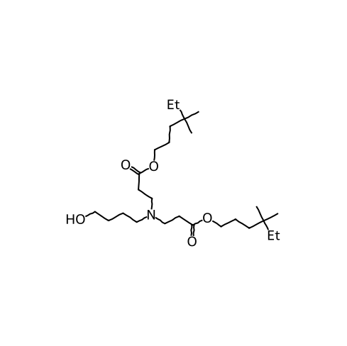 CCC(C)(C)CCCOC(=O)CCN(CCCCO)CCC(=O)OCCCC(C)(C)CC